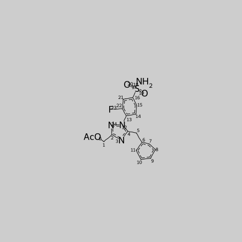 CC(=O)OCc1nc(Cc2ccccc2)n(-c2ccc(S(N)(=O)=O)cc2F)n1